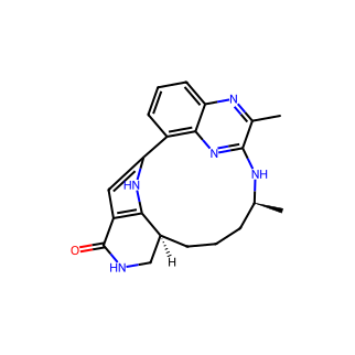 Cc1nc2cccc3c2nc1N[C@@H](C)CCC[C@H]1CNC(=O)c2cc-3[nH]c21